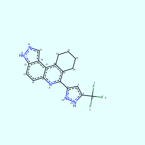 FC(F)(F)c1cc(-c2nc3ccc4[nH]ncc4c3c3c2CCCC3)n[nH]1